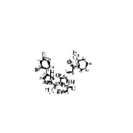 CC(C)CS(=O)(=O)N[C@@H](CCC(=O)N1CCCC[C@@H]1C)C(=O)N[C@@H](C)c1ncc(-c2ccc(F)cc2F)[nH]1